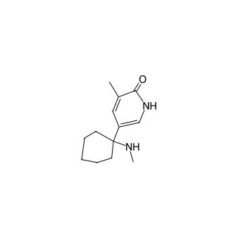 CNC1(c2c[nH]c(=O)c(C)c2)CCCCC1